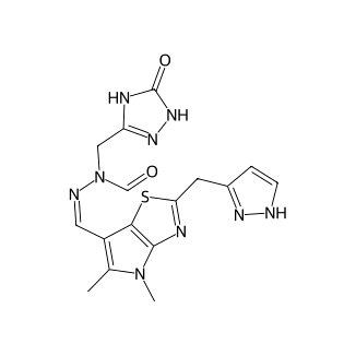 Cc1c(/C=N\N(C=O)Cc2n[nH]c(=O)[nH]2)c2sc(Cc3cc[nH]n3)nc2n1C